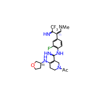 CN/C=C(\C(=N)C(F)(F)F)c1ccc(NC(=N)C2=C(N[C@H]3CCOC3)CCN(C(C)=O)C2)c(F)c1